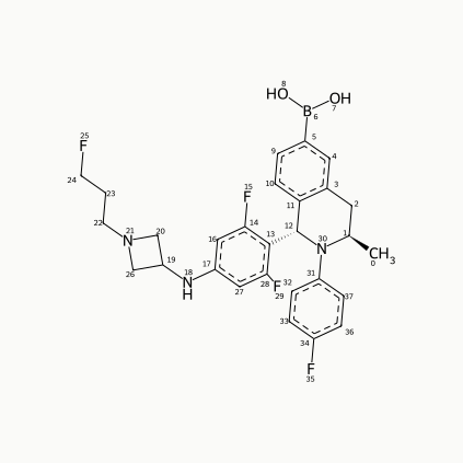 C[C@@H]1Cc2cc(B(O)O)ccc2[C@@H](c2c(F)cc(NC3CN(CCCF)C3)cc2F)N1c1ccc(F)cc1